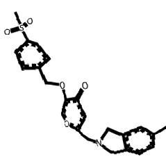 Cc1ccc2c(c1)CN(Cc1cc(=O)c(OCc3ccc(S(C)(=O)=O)cc3)co1)C2